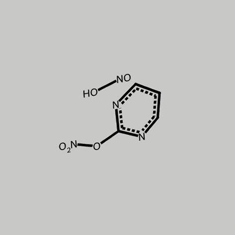 O=NO.O=[N+]([O-])Oc1ncccn1